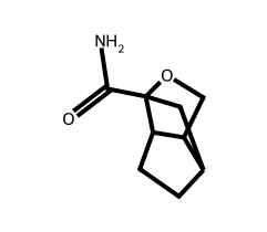 NC(=O)C12CC3CCC1C3CO2